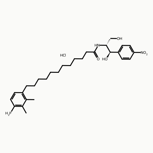 Cc1c(P)ccc(CCCCCCCCCCCC(=O)N[C@H](CO)[C@H](O)c2ccc([N+](=O)[O-])cc2)c1C.Cl